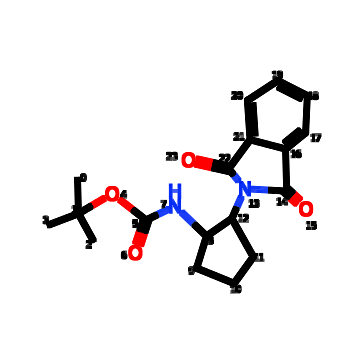 CC(C)(C)OC(=O)NC1CCCC1N1C(=O)c2ccccc2C1=O